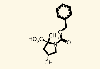 C[C@@]1(C(=O)O)C[C@@H](O)CN1C(=O)OCc1ccccc1